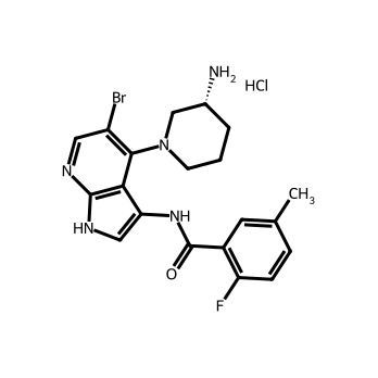 Cc1ccc(F)c(C(=O)Nc2c[nH]c3ncc(Br)c(N4CCC[C@@H](N)C4)c23)c1.Cl